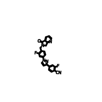 N#Cc1ccc(-c2ccn(-c3ccc(CN4Cc5ncccc5C4=O)c(F)c3)n2)cc1F